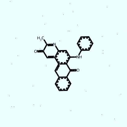 CC1=Nc2cc(Nc3ccccc3)c3c(c2=CC1=O)=Cc1ccccc1C3=O